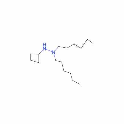 CCCCCCN(CCCCCC)NC1CCC1